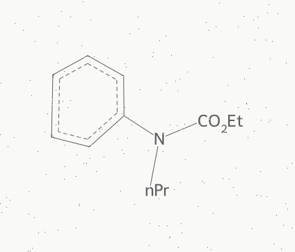 [CH2]CCN(C(=O)OCC)c1ccccc1